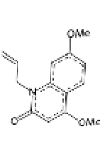 C=CCn1c(=O)cc(OC)c2ccc(OC)cc21